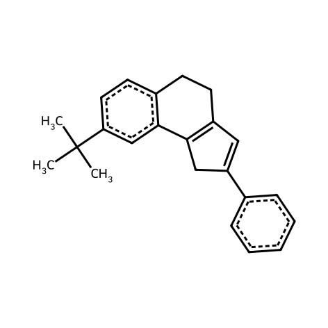 CC(C)(C)c1ccc2c(c1)C1=C(C=C(c3ccccc3)C1)CC2